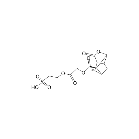 O=C(COC(=O)[C@@H]1C2CC3C(=O)OC1C3C2)OCCS(=O)(=O)O